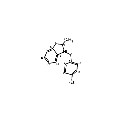 CCc1ccc(CN2[C](C)Cc3ccccc32)cc1